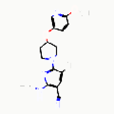 CNc1nc(N2CCC(Oc3ccc(OC)nc3)CC2)c(C)cc1C#N